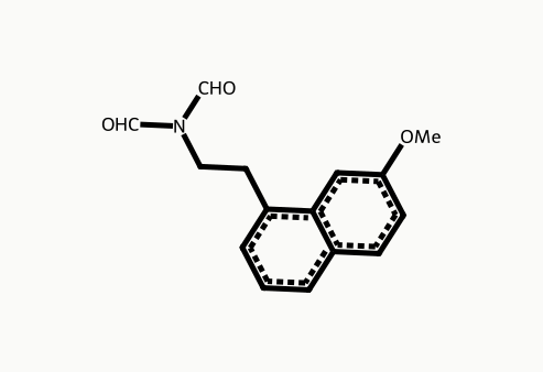 COc1ccc2cccc(CCN(C=O)C=O)c2c1